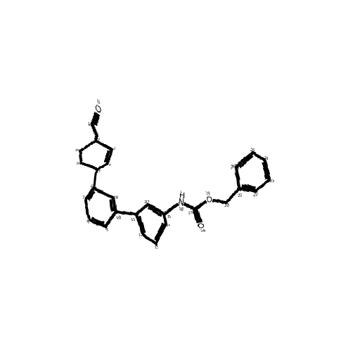 O=CC1C=CC(c2cccc(-c3cccc(NC(=O)OCc4ccccc4)c3)c2)CC1